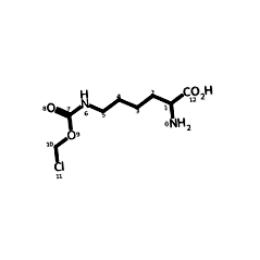 NC(CCCCNC(=O)OCCl)C(=O)O